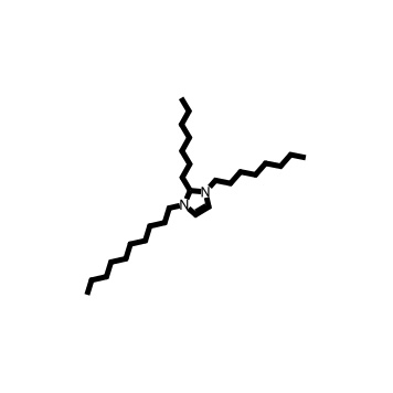 CCCCCCCCCCN1C=CN(CCCCCCCC)C1CCCCCCC